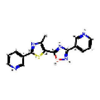 Cc1nc(-c2cccnc2)sc1-c1nc(-c2cccnc2)no1